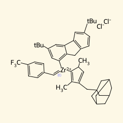 CC1=[C](/[Zr+2](=[CH]/c2ccc(C(F)(F)F)cc2)[c]2cc(C(C)(C)C)cc3c2Cc2ccc(C(C)(C)C)cc2-3)C(C)C=C1CC12CC3CC(CC(C3)C1)C2.[Cl-].[Cl-]